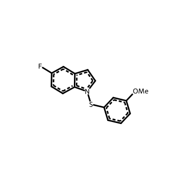 COc1cccc(Sn2ccc3cc(F)ccc32)c1